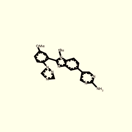 COc1ccc(-n2cncn2)c(-c2nc3cc(-c4cnc(N)nc4)ccc3n2C(C)(C)C)c1